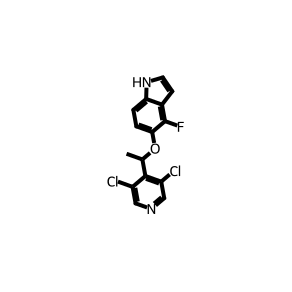 CC(Oc1ccc2[nH]ccc2c1F)c1c(Cl)cncc1Cl